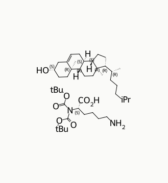 CC(C)(C)OC(=O)N(C(=O)OC(C)(C)C)[C@@H](CCCCN)C(=O)O.CC(C)CCC[C@@H](C)[C@H]1CC[C@H]2[C@@H]3CC=C4C[C@@H](O)CC[C@]4(C)[C@H]3CC[C@]12C